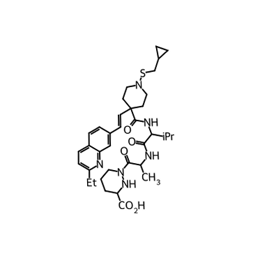 CCc1ccc2ccc(/C=C/C3(C(=O)NC(C(=O)NC(C)C(=O)N4CCCC(C(=O)O)N4)C(C)C)CCN(SCC4CC4)CC3)cc2n1